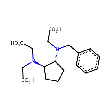 O=C(O)CN(CC(=O)O)[C@@H]1CCC[C@H]1N(CC(=O)O)Cc1ccccc1